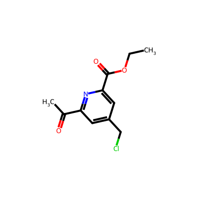 CCOC(=O)c1cc(CCl)cc(C(C)=O)n1